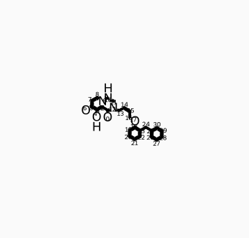 O=C1c2c(O)c(=O)ccn2NCN1C/C=C\COc1ccccc1Cc1ccccc1